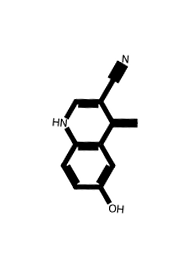 C=C1C(C#N)=CNc2ccc(O)cc21